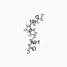 C=CC(=O)CNCCC1CC2CC1C1CCC(CCNCC(=O)C=C)C21